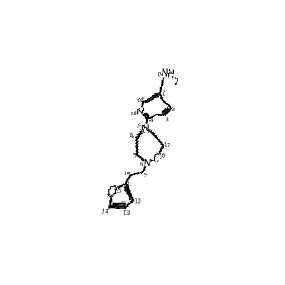 Nc1ccc(N2CCN(CCc3ccco3)CC2)nc1